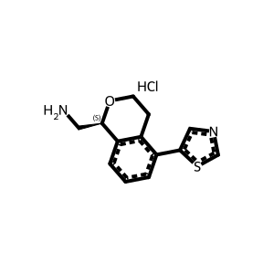 Cl.NC[C@H]1OCCc2c(-c3cncs3)cccc21